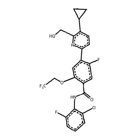 O=C(Nc1c(F)cccc1Cl)c1cc(F)c(-c2ccc(C3CC3)c(CO)n2)cc1OCC(F)(F)F